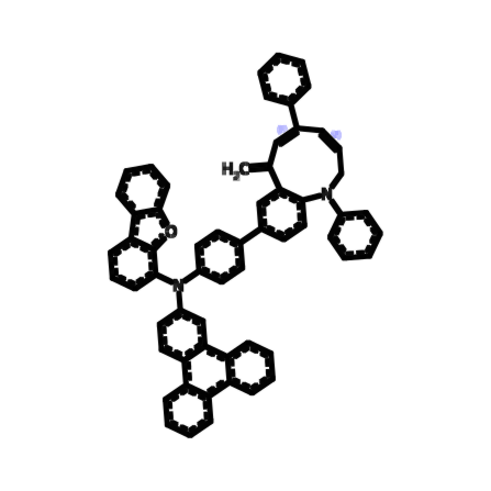 C=C1/C=C(c2ccccc2)\C=C/CN(c2ccccc2)c2ccc(-c3ccc(N(c4ccc5c6ccccc6c6ccccc6c5c4)c4cccc5c4oc4ccccc45)cc3)cc21